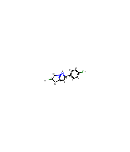 Fc1ccc(-c2cc3n(n2)C[C@H](F)C3)cc1